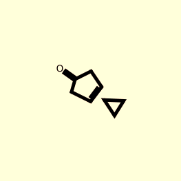 C1CC1.O=C1CC=CC1